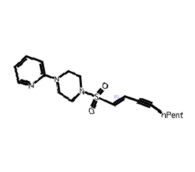 CCCCCC#C/C=C/S(=O)(=O)N1CCN(c2ccccn2)CC1